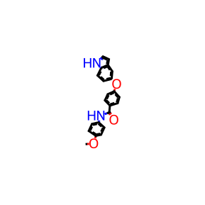 COc1ccc(NC(=O)c2ccc(Oc3ccc4[nH]ccc4c3)cc2)cc1